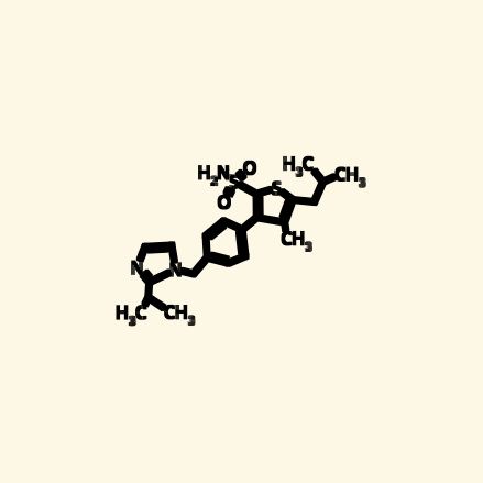 Cc1c(CC(C)C)sc(S(N)(=O)=O)c1-c1ccc(Cn2ccnc2C(C)C)cc1